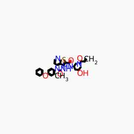 C=CC(=O)N1C[C@@H](O)C[C@@H](NC(=O)c2sc3nccc4c3c2NC(=O)N4c2ccc(Oc3ccccc3)cc2C)C1